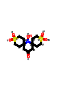 O=C1CC2(CCS(=O)(=O)CC2)N(O)C2(CCS(=O)(=O)CC2)C1